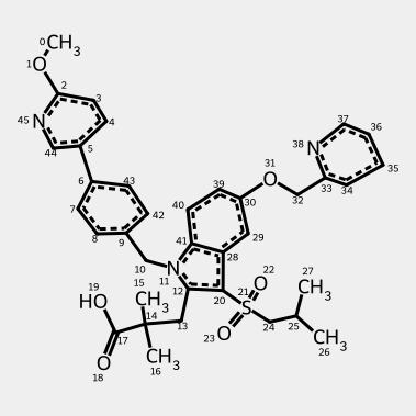 COc1ccc(-c2ccc(Cn3c(CC(C)(C)C(=O)O)c(S(=O)(=O)CC(C)C)c4cc(OCc5ccccn5)ccc43)cc2)cn1